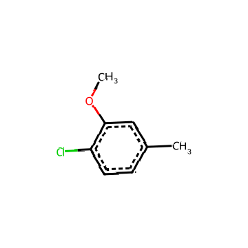 COc1cc(C)[c]cc1Cl